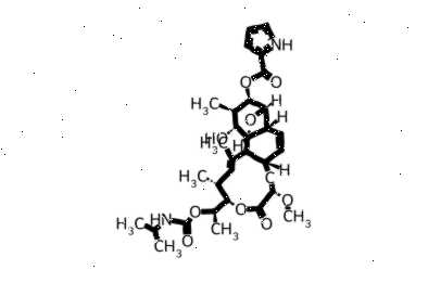 CO[C@H]1C[C@H]2C=C[C@H]3[C@H]4O[C@]2(/C(C)=C/[C@@H](C)[C@@H]([C@@H](C)OC(=O)NC(C)C)OC1=O)[C@@H]3[C@H](O)[C@@H](C)[C@H]4OC(=O)c1ccc[nH]1